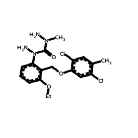 CCOc1cccc(N(N)C(=O)N(C)N)c1COc1cc(Cl)c(C)cc1Cl